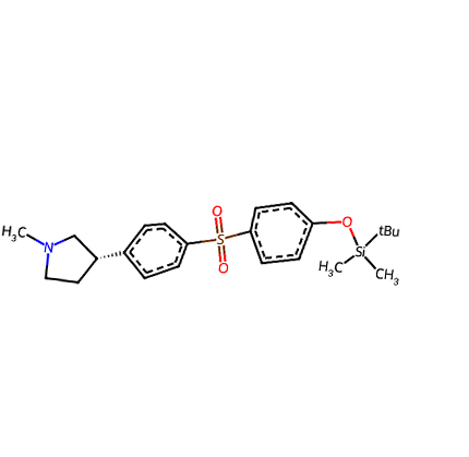 CN1CC[C@@H](c2ccc(S(=O)(=O)c3ccc(O[Si](C)(C)C(C)(C)C)cc3)cc2)C1